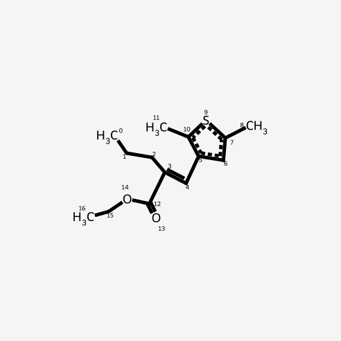 CCC/C(=C\c1cc(C)sc1C)C(=O)OCC